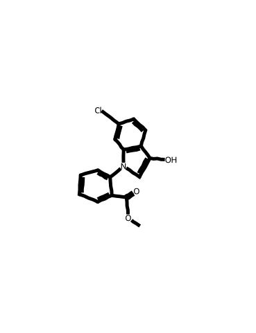 COC(=O)c1ccccc1-n1cc(O)c2ccc(Cl)cc21